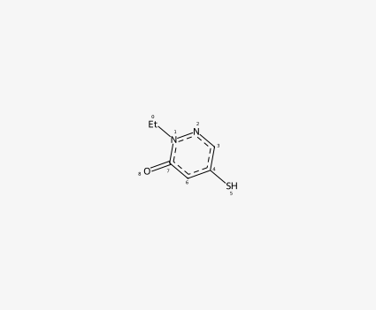 CCn1ncc(S)cc1=O